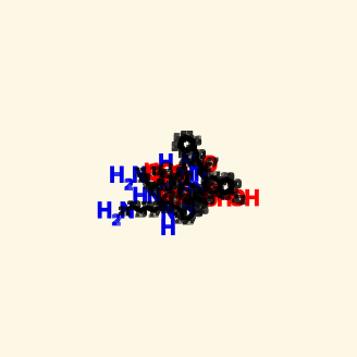 CC(C)C[C@H](NC(=O)[C@H](CC(N)=O)NC(=O)[C@H](CCCCN)NC(=O)[C@@H]1CCCN1C(=O)[C@@H](NC(=O)[C@H](Cc1ccc(O)cc1)NC(=O)[C@@H](N)Cc1ccccc1)[C@@H](C)O)C(=O)O